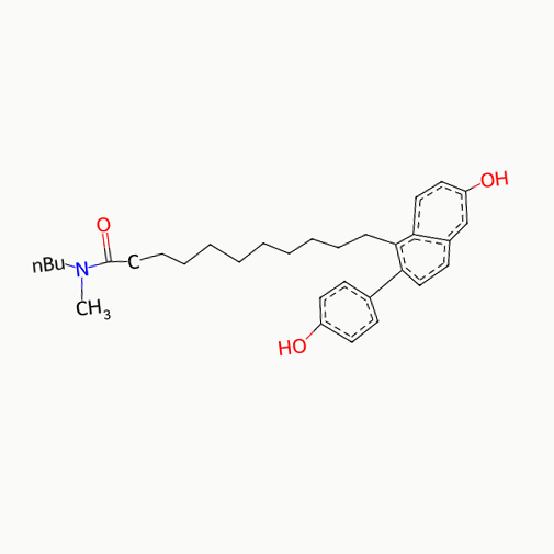 CCCCN(C)C(=O)CCCCCCCCCCc1c(-c2ccc(O)cc2)ccc2cc(O)ccc12